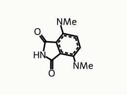 CNc1ccc(NC)c2c1C(=O)NC2=O